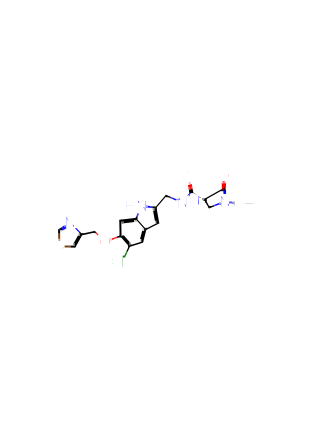 CN1C[C@@H](C(=O)NCc2cc3cc(Cl)c(OCc4cscn4)cc3[nH]2)C1=O